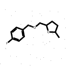 CC1CCC(COCc2ccc(F)cc2)O1